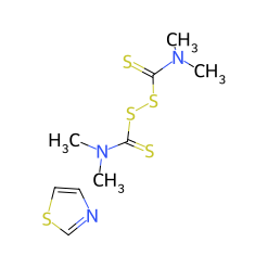 CN(C)C(=S)SSC(=S)N(C)C.c1cscn1